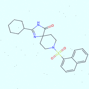 O=C1NC(C2CCCCC2)=NC12CCN(S(=O)(=O)c1cccc3ccccc13)CC2